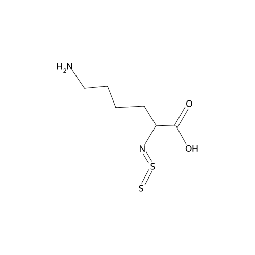 NCCCCC(N=S=S)C(=O)O